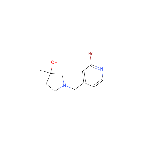 CC1(O)CCN(Cc2ccnc(Br)c2)C1